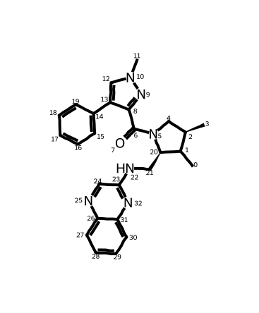 CC1[C@H](C)CN(C(=O)c2nn(C)cc2-c2ccccc2)[C@@H]1CNc1cnc2ccccc2n1